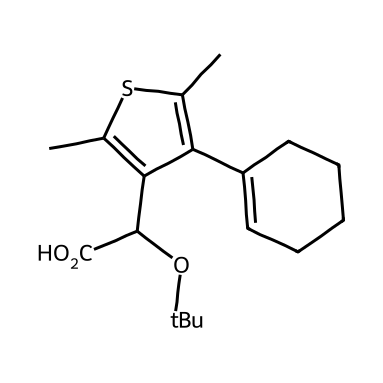 Cc1sc(C)c(C(OC(C)(C)C)C(=O)O)c1C1=CCCCC1